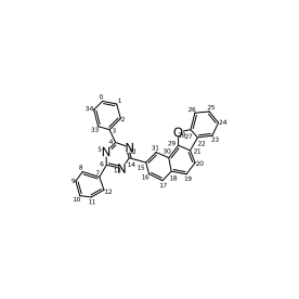 c1ccc(-c2nc(-c3ccccc3)nc(-c3ccc4ccc5c6ccccc6oc5c4c3)n2)cc1